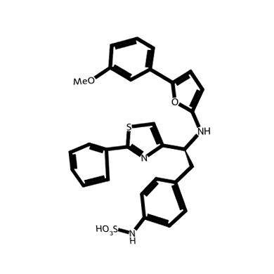 COc1cccc(-c2ccc(N[C@@H](Cc3ccc(NS(=O)(=O)O)cc3)c3csc(-c4ccccc4)n3)o2)c1